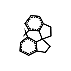 Ic1cccc2c1C1(CC2)CCc2cccc(I)c21